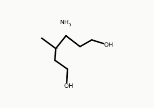 C[C](CCO)CCCO.N